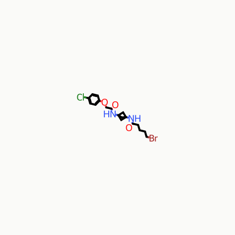 O=C(CCCCBr)NC12CC(NC(=O)COc3ccc(Cl)cc3)(C1)C2